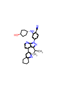 CC(C)c1nn(-c2ccc(C#N)c(N[C@H]3CC[C@H](O)CC3)c2)c2nccc(-c3cnc4c(c3)CCCC4)c12